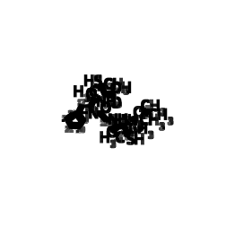 CC(C)(C)OC(=O)N[C@@H](C(=O)NCC(=O)N[C@@H](Cc1ccccc1)C(=O)N[C@@H](C(=O)O)C(C)(C)S)C(C)(C)S